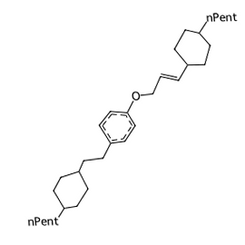 CCCCCC1CCC(/C=C/COc2ccc(CCC3CCC(CCCCC)CC3)cc2)CC1